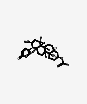 CCC(=O)O[C@H]1CC[C@@]2(C)[C@H](CC[C@@H]3[C@@H]2CC[C@]2(C)[C@@H](c4ccc(=O)oc4)[C@@H](OC(C)=O)C[C@H]4O[C@]342)C1